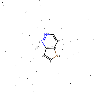 [Ir].c1cc2sccc2nn1